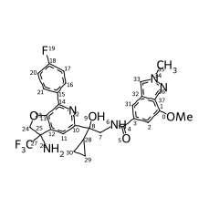 COc1cc(C(=O)NCC(O)(c2cc3c(c(-c4ccc(F)cc4)n2)OCC3(N)C(F)(F)F)C2CC2)cc2cn(C)nc12